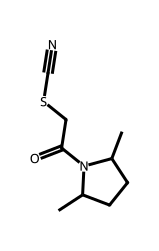 CC1CCC(C)N1C(=O)CSC#N